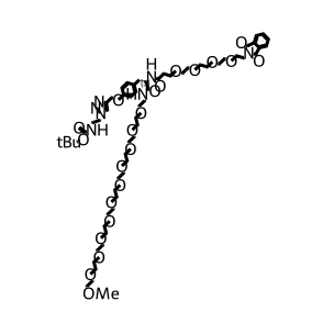 COCCOCCOCCOCCOCCOCCOCCOCCOCCOCCOCCNC(=O)[C@H](Cc1ccc(OCc2cn(CCNC(=O)OC(C)(C)C)nn2)cc1)NC(=O)CCOCCOCCOCCOCCN1C(=O)c2ccccc2C1=O